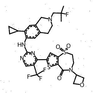 CC(C)(F)CN1CCc2cc(Nc3ncc(C(F)(F)F)c(-c4cc5c(s4)C(=O)N(C4COC4)CCS5(=O)=O)n3)c(C3CC3)cc2C1